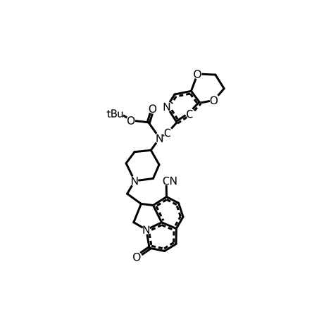 CC(C)(C)OC(=O)N(Cc1cc2c(cn1)OCCO2)C1CCN(CC2Cn3c(=O)ccc4ccc(C#N)c2c43)CC1